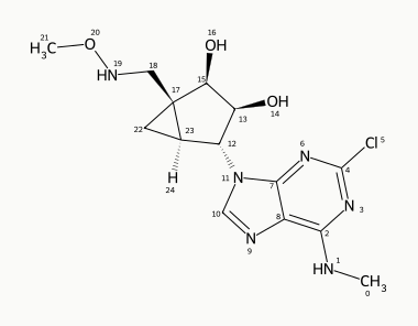 CNc1nc(Cl)nc2c1ncn2[C@H]1[C@H](O)[C@H](O)[C@@]2(CNOC)C[C@H]12